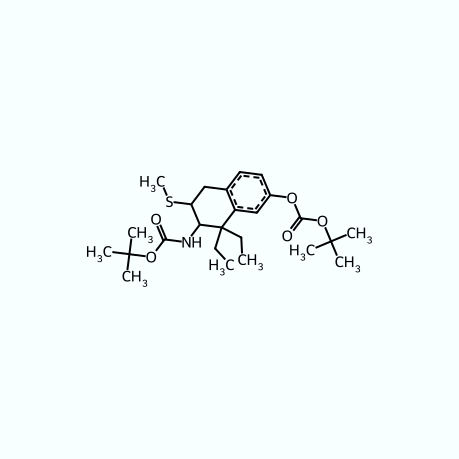 CCC1(CC)c2cc(OC(=O)OC(C)(C)C)ccc2CC(SC)C1NC(=O)OC(C)(C)C